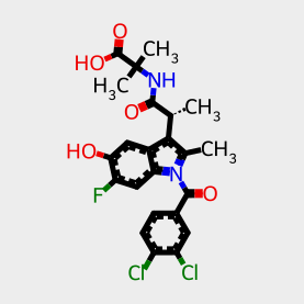 Cc1c([C@@H](C)C(=O)NC(C)(C)C(=O)O)c2cc(O)c(F)cc2n1C(=O)c1ccc(Cl)c(Cl)c1